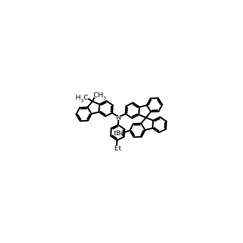 CCc1ccc(N(c2ccc3c(c2)-c2ccccc2C3(C)C)c2ccc3c(c2)C2(c4ccccc4-3)c3ccccc3-c3ccc(C(C)(C)C)cc32)cc1